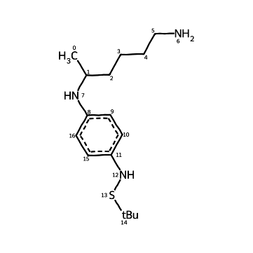 CC(CCCCN)Nc1ccc(NSC(C)(C)C)cc1